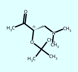 CC(=O)[C@H](CN(C)C)OC(C)(C)C